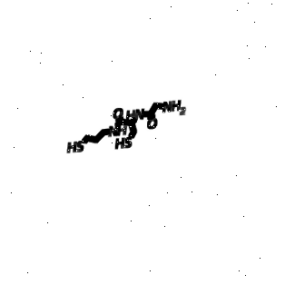 NCC(=O)NC(CS)C(=O)NCCCS